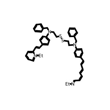 CC/N=C/C=C\C=C\C=C\c1ccc(N(CCSSCCN(Cc2ccccc2)c2ccc(/C=C/c3cccc[n+]3CC)cc2)Cc2ccccc2)cc1